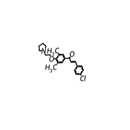 Cc1cc(C(=O)C=Cc2ccc(Cl)cc2)cc(C)c1OCCN1CCCC1